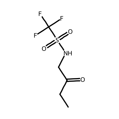 CCC(=O)CNS(=O)(=O)C(F)(F)F